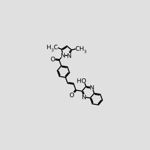 Cc1cc(C)n(C(=O)c2ccc(C=CC(=O)c3nc4ccccc4nc3O)cc2)n1